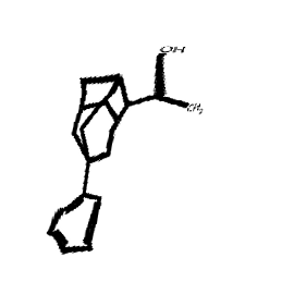 CC(O)C1C2CC3CC1CC(c1ccccc1)(C3)C2